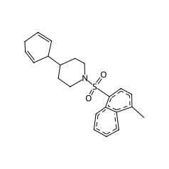 Cc1ccc(S(=O)(=O)N2CCC(C3C=CCC=C3)CC2)c2ccccc12